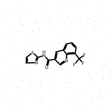 O=C(Nc1nccs1)c1cnc2c(C(F)(F)F)cccc2c1